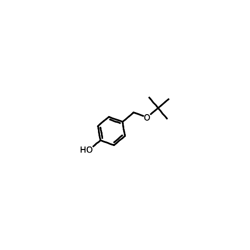 CC(C)(C)OCc1ccc(O)cc1